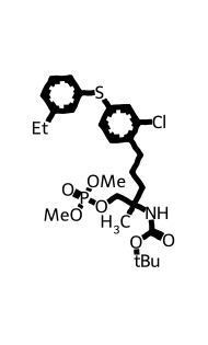 CCc1cccc(Sc2ccc(CCCC(C)(COP(=O)(OC)OC)NC(=O)OC(C)(C)C)c(Cl)c2)c1